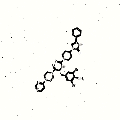 Nc1c(Br)cc(C[C@@H](NC(=O)N2CCC(n3cc(-c4ccccc4)[nH]c3=O)CC2)C(=O)N2CCN(c3ccncn3)CC2)cc1Br